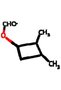 CC1CC(O[C]=O)C1C